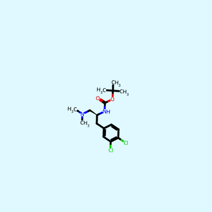 CN(C)C[C@H](Cc1ccc(Cl)c(Cl)c1)NC(=O)OC(C)(C)C